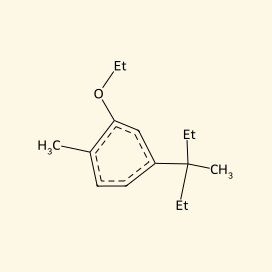 CCOc1cc(C(C)(CC)CC)ccc1C